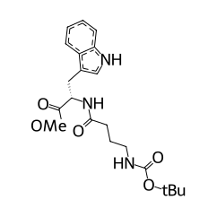 COC(=O)[C@H](Cc1c[nH]c2ccccc12)NC(=O)CCCNC(=O)OC(C)(C)C